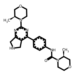 C[C@H]1COCCN1C(=O)Nc1ccc(-c2nc(N3CCOC[C@@H]3C)nc3c2CNC3)cc1